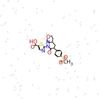 CS(=O)(=O)c1ccc(C(CC2CCOCC2)C(=O)Nc2ncc(C(=O)O)s2)cc1